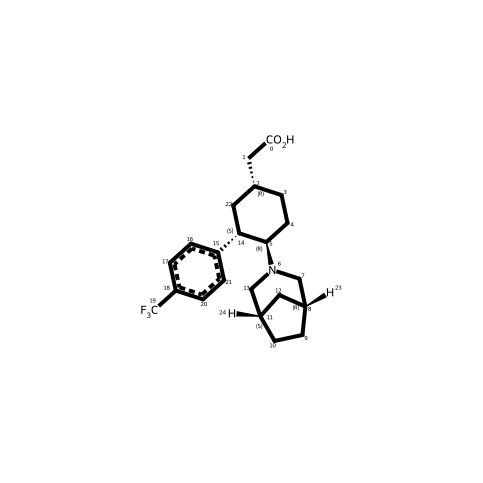 O=C(O)C[C@@H]1CC[C@@H](N2C[C@@H]3CC[C@@H](C3)C2)[C@H](c2ccc(C(F)(F)F)cc2)C1